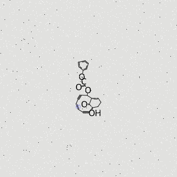 O=C(COc1ccccc1)OC1C#C/C=C\C#CC2(O)CCC=C1C2=O